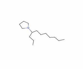 CCCCCCCC(CCC)N1CCCC1